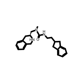 CN(C[C@@H]1Cc2ccccc2CN1)C(=O)NCCC1Cc2ccccc2C1